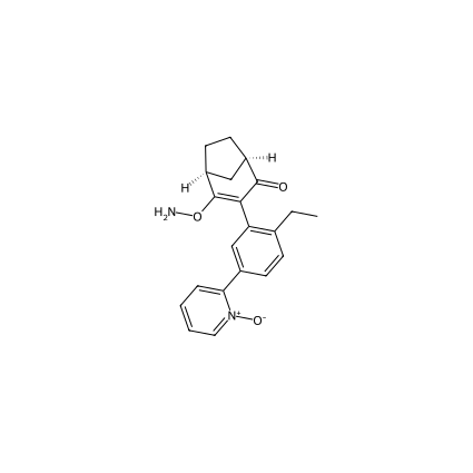 CCc1ccc(-c2cccc[n+]2[O-])cc1C1=C(ON)[C@H]2CC[C@H](C2)C1=O